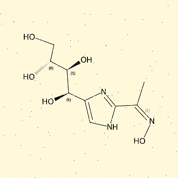 C/C(=N/O)c1nc([C@@H](O)[C@H](O)[C@H](O)CO)c[nH]1